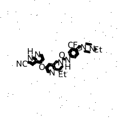 CC[C@H]1CN(C(=O)Nc2ccc(CN3CCN(CC)CC3)c(C(F)(F)F)c2)Cc2cc(Oc3ccnc4[nH]c(C#N)cc34)cnc21